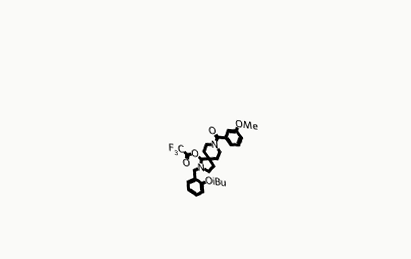 COc1cccc(C(=O)N2CCC3(CC2)CCN(Cc2ccccc2OCC(C)C)C3OC(=O)C(F)(F)F)c1